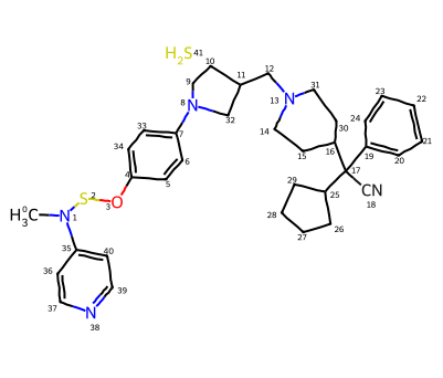 CN(SOc1ccc(N2CCC(CN3CCC(C(C#N)(c4ccccc4)C4CCCC4)CC3)C2)cc1)c1ccncc1.S